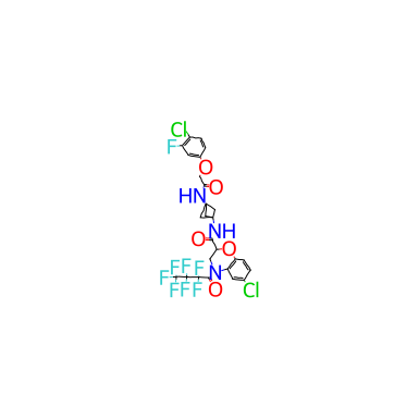 O=C(COc1ccc(Cl)c(F)c1)NC12CC(NC(=O)C3CN(C(=O)C(F)(F)C(F)(F)C(F)(F)F)c4cc(Cl)ccc4O3)(C1)C2